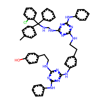 Cc1ccc(C(NCNc2nc(NCCc3ccc(Nc4nc(NCCc5ccc(O)cc5)nc(Nc5ccccc5)n4)cc3)nc(Nc3ccccc3)n2)(c2ccccc2)c2ccccc2Cl)cc1